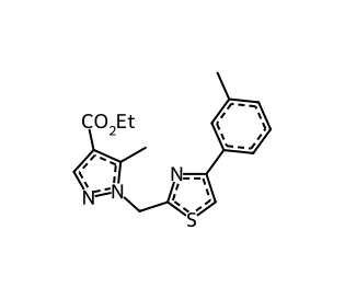 CCOC(=O)c1cnn(Cc2nc(-c3cccc(C)c3)cs2)c1C